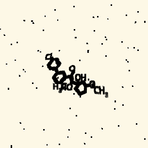 COC1CCCC(O)(/C(O)=C(\C=O)c2cc(-c3ccc(Cl)cc3)ccc2C)C1